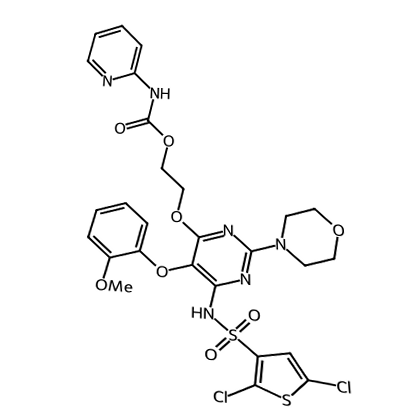 COc1ccccc1Oc1c(NS(=O)(=O)c2cc(Cl)sc2Cl)nc(N2CCOCC2)nc1OCCOC(=O)Nc1ccccn1